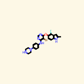 Cc1cc2c(F)c(Oc3ncnc(Nc4ccc(N5CCNCC5)cc4)c3Br)ccc2[nH]1